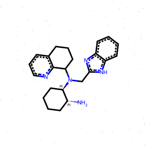 N[C@@H]1CCCC[C@H]1N(Cc1nc2ccccc2[nH]1)C1CCCc2cccnc21